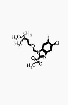 C[Si](C)(C)CCOCn1c(S(C)(=O)=O)nc2cc(Cl)c(I)cc21